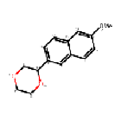 COc1ccc2cc(C3COCCO3)ccc2c1